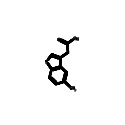 Cc1ccc2scc(CC(=O)O)c2c1